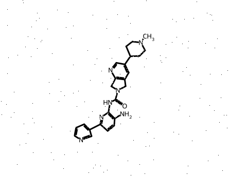 CN1CCC(c2cnc3c(c2)CN(C(=O)Nc2nc(-c4cccnc4)ccc2N)C3)CC1